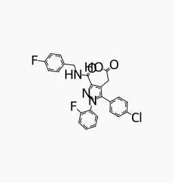 O=C(O)Cc1c(C(=O)NCc2ccc(F)cc2)nn(-c2ccccc2F)c1-c1ccc(Cl)cc1